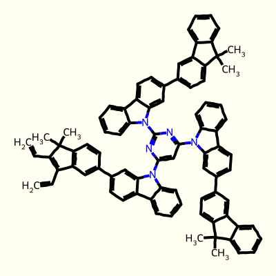 C=CC1=C(C=C)C(C)(C)c2ccc(-c3ccc4c5ccccc5n(-c5cc(-n6c7ccccc7c7ccc(-c8ccc9c(c8)-c8ccccc8C9(C)C)cc76)nc(-n6c7ccccc7c7ccc(-c8ccc9c(c8)-c8ccccc8C9(C)C)cc76)n5)c4c3)cc21